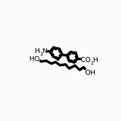 Nc1ccc(-c2ccc(C(=O)O)cc2)cc1.OCCCCCCCCCCO